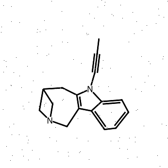 CC#Cn1c2c(c3ccccc31)CN1CC(C2)C1